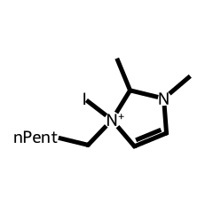 CCCCCC[N+]1(I)C=CN(C)C1C